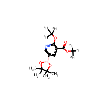 [2H]C([2H])([2H])OC(=O)c1cc(B2OC(C)(C)C(C)(C)O2)cnc1OC([2H])([2H])[2H]